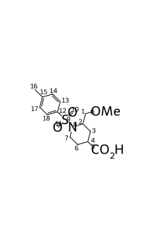 COCC1CC(C(=O)O)CCN1S(=O)(=O)c1ccc(C)cc1